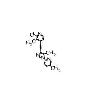 Cc1ccc(-n2cnc(C#Cc3ccnc(Cl)c3C)c2C)nc1